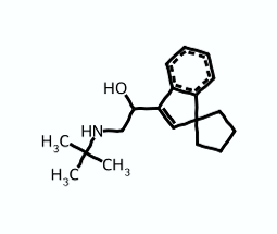 CC(C)(C)NCC(O)C1=CC2(CCCC2)c2ccccc21